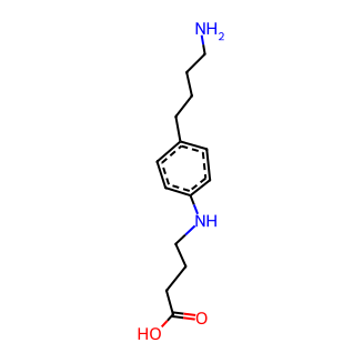 NCCCCc1ccc(NCCCC(=O)O)cc1